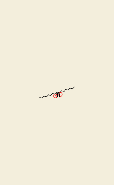 CCCCCCCCCCCCCCCCC.[O]=[Ti]=[O]